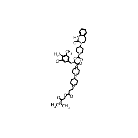 CN(C)C(=O)COC(=O)CCN1CCC(N2CCN(C(=O)[C@@H](Cc3cc(Cl)c(N)c(C(F)(F)F)c3)OC(=O)N3CCC(N4CCc5ccccc5NC4=O)CC3)CC2)CC1